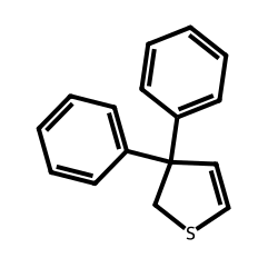 C1=CC(c2ccccc2)(c2ccccc2)CS1